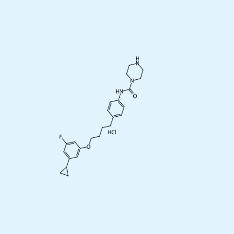 Cl.O=C(Nc1ccc(CCCCOc2cc(F)cc(C3CC3)c2)cc1)N1CCNCC1